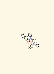 Cc1cc2c3c(c1)N(c1ccccc1C)c1c(oc4cc5c(cc14)C(C)(C)CCC5(C)C)B3c1cc(C(C)(C)C)ccc1N2c1ccccc1C